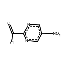 O=C(Cl)c1ncc([N+](=O)[O-])cn1